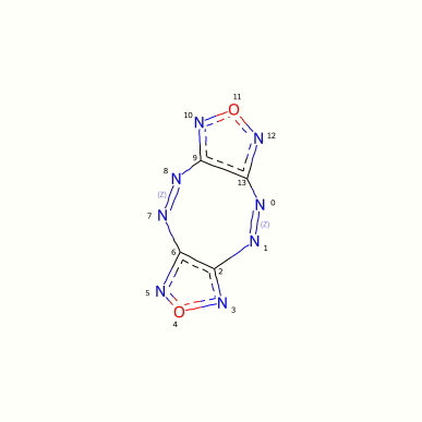 N1=N\c2nonc2/N=N\c2nonc2/1